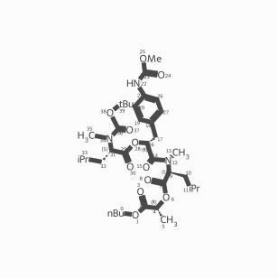 CCCCOC(=O)[C@@H](C)OC(=O)[C@H](CC(C)C)N(C)C(=O)[C@@H](Cc1ccc(NC(=O)OC)cc1)OC(=O)[C@H](CC(C)C)N(C)C(=O)OC(C)(C)C